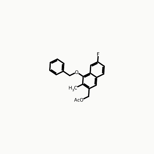 CC(=O)OCc1cc2ccc(F)cc2c(OCc2ccccc2)c1C